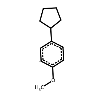 COc1[c]cc(C2CCCC2)cc1